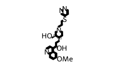 COc1ccc2nccc([C@H](O)CC[C@@H]3CCN(CCCSc4ccnnc4)C[C@@H]3CO)c2c1